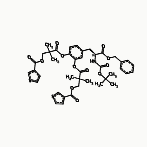 CC(C)(C)OC(=O)N[C@@H](Cc1ccc(OC(=O)C(C)(C)COC(=O)c2ccsc2)c(OC(=O)C(C)(C)COC(=O)c2ccsc2)c1)C(=O)OCc1ccccc1